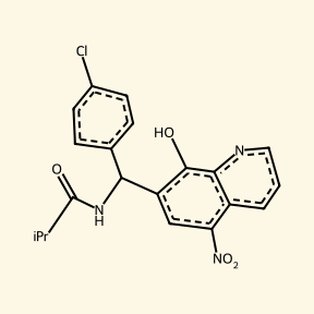 CC(C)C(=O)NC(c1ccc(Cl)cc1)c1cc([N+](=O)[O-])c2cccnc2c1O